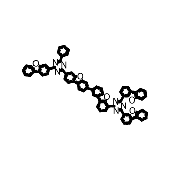 c1ccc(-c2nc(-c3ccc4c(c3)oc3ccccc34)nc(-c3ccc4c(c3)oc3cc(-c5ccc6oc7c(-c8nc(-c9cccc%10c9oc9ccccc9%10)nc(-c9cccc%10c9oc9ccccc9%10)n8)cccc7c6c5)ccc34)n2)cc1